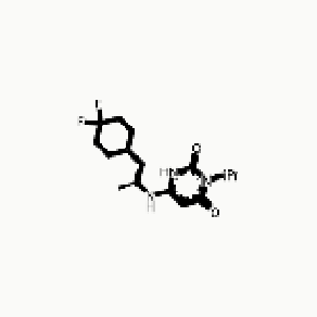 CC(C)n1c(=O)cc(N[C@@H](C)CC2CCC(F)(F)CC2)[nH]c1=O